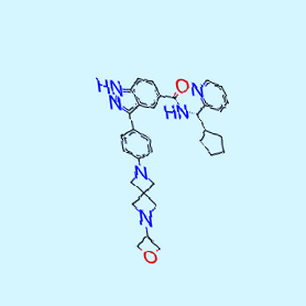 O=C(N[C@H](c1ccccn1)C1CCCC1)c1ccc2[nH]nc(-c3ccc(N4CC5(C4)CN(C4COC4)C5)cc3)c2c1